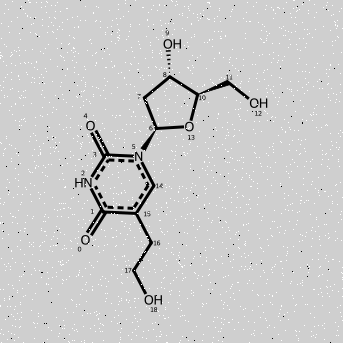 O=c1[nH]c(=O)n([C@H]2C[C@H](O)[C@@H](CO)O2)cc1CCO